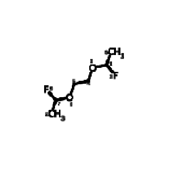 CC(F)OCCOC(C)F